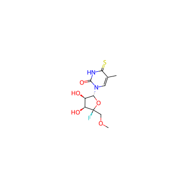 COC[C@@]1(F)O[C@@H](n2cc(C)c(=S)[nH]c2=O)[C@H](O)[C@@H]1O